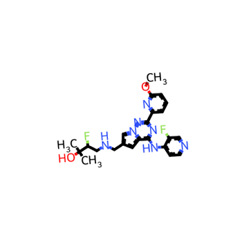 COc1cccc(-c2nc(Nc3ccncc3F)c3cc(CNCC(F)C(C)(C)O)cn3n2)n1